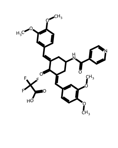 COc1ccc(/C=C2\CC(NC(=O)c3ccncc3)C/C(=C\c3ccc(OC)c(OC)c3)C2=O)cc1OC.O=C(O)C(F)(F)F